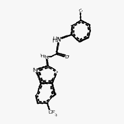 O=C(Nc1cccc(Cl)c1)Nc1nc2ccc(C(F)(F)F)cc2s1